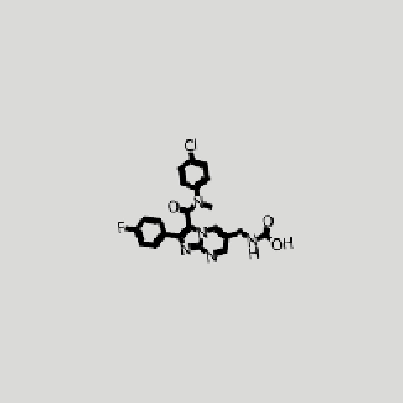 CN(C(=O)c1c(-c2ccc(F)cc2)nc2ncc(CNC(=O)O)cn12)c1ccc(Cl)cc1